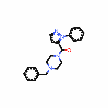 O=C(c1ccnn1-c1ccccc1)N1CCN(Cc2ccccc2)CC1